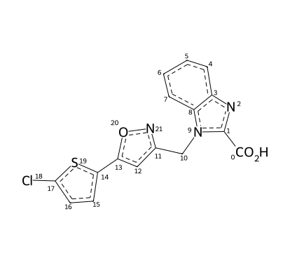 O=C(O)c1nc2ccccc2n1Cc1cc(-c2ccc(Cl)s2)on1